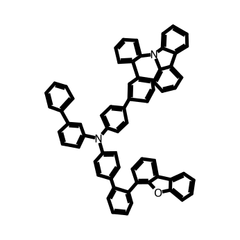 c1ccc(-c2cccc(N(c3ccc(-c4cccc(-c5ccccc5-n5c6ccccc6c6ccccc65)c4)cc3)c3ccc(-c4ccccc4-c4cccc5c4oc4ccccc45)cc3)c2)cc1